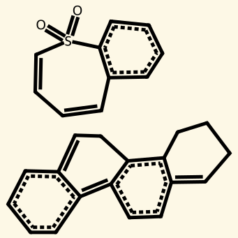 C1=c2ccc3c(c2CCC1)CC=c1ccccc1=3.O=S1(=O)C=CC=Cc2ccccc21